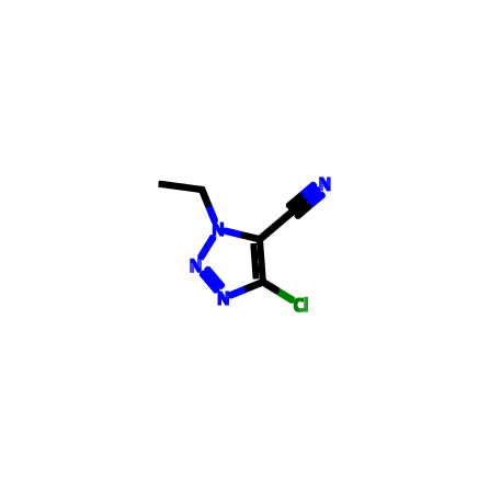 CCn1nnc(Cl)c1C#N